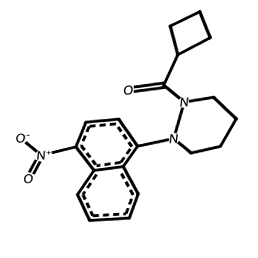 O=C(C1CCC1)N1CCCCN1c1ccc([N+](=O)[O-])c2ccccc12